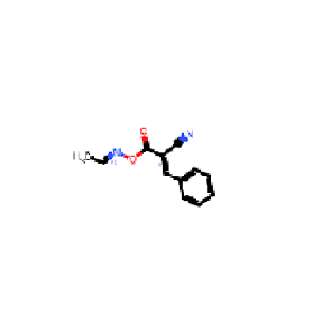 C/C=N/OC(=O)/C(C#N)=C/c1ccccc1